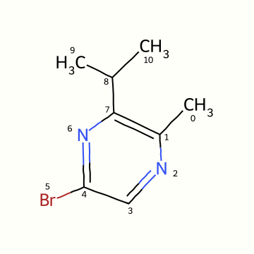 Cc1ncc(Br)nc1C(C)C